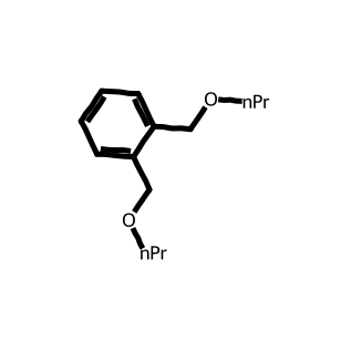 CCCOCc1ccccc1COCCC